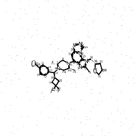 Cc1nc2c(N3C[C@@H](C)N(C(c4ccc(Cl)cc4)C4CC(F)(F)C4)C[C@@H]3C)cc3nncn3c2n1C[C@@H]1CCCO1